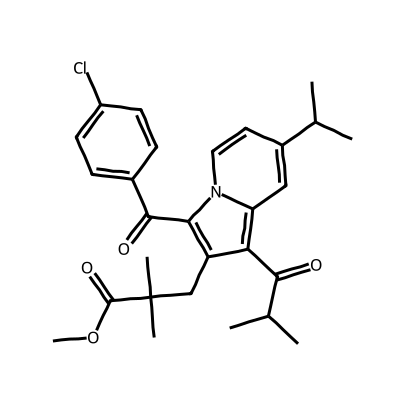 COC(=O)C(C)(C)Cc1c(C(=O)C(C)C)c2cc(C(C)C)ccn2c1C(=O)c1ccc(Cl)cc1